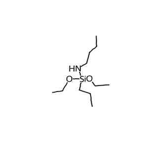 CCCCN[Si](CCC)(OCC)OCC